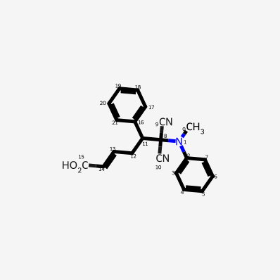 CN(c1ccccc1)C(C#N)(C#N)C(C/C=C/C(=O)O)c1ccccc1